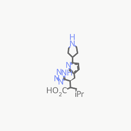 CC(C)CC(C(=O)O)[C@H](Cc1ccc(C2CCNCC2)nc1)c1nnn[nH]1